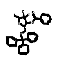 O=C(OC1[C@@H](COC(c2ccccc2)(c2ccccc2)c2ccccc2)OC(I)C1(F)F)c1ccccc1